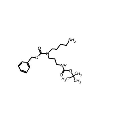 CC(C)(C)OC(=O)NCCCN(CCCCN)C(=O)OCc1ccccc1